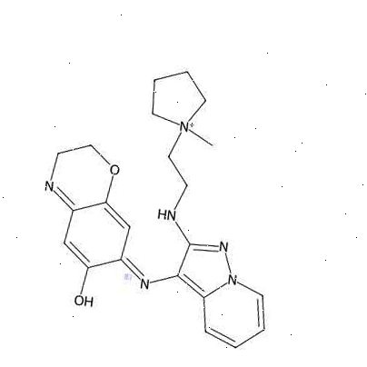 C[N+]1(CCNc2nn3ccccc3c2/N=C2\C=C3OCCN=C3C=C2O)CCCC1